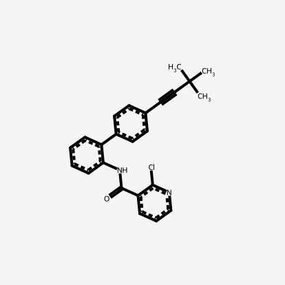 CC(C)(C)C#Cc1ccc(-c2ccccc2NC(=O)c2cccnc2Cl)cc1